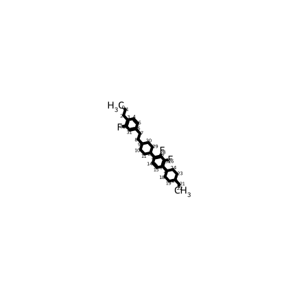 CCCc1ccc(CCC2CCC(c3ccc(C4CCC(CC)CC4)c(F)c3F)CC2)cc1F